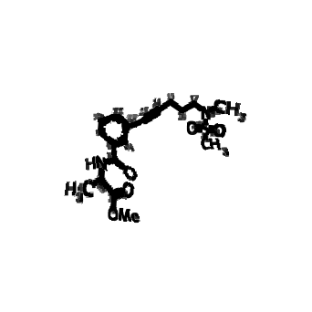 COC(=O)[C@@H](C)NC(=O)c1cccc(C#CCCCN(C)S(C)(=O)=O)c1